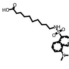 CN(C)c1cccc2c(S(=O)(=O)NCCCCCCCCCC(=O)O)cccc12